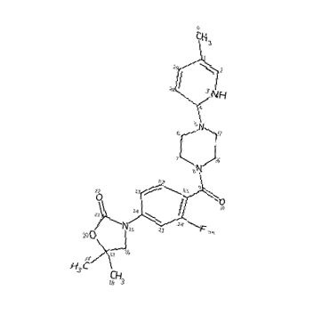 CC1=CNC(N2CCN(C(=O)c3ccc(N4CC(C)(C)OC4=O)cc3F)CC2)C=C1